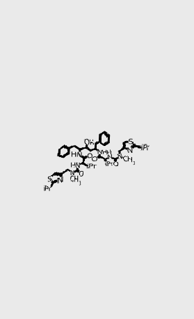 CC(C)c1nc(CN(C)C(=O)NC(C(=O)NC(Cc2ccccc2)CC(O)C(Cc2ccccc2)NC(=O)C(NC(=O)N(C)Cc2csc(C(C)C)n2)C(C)C)C(C)C)cs1